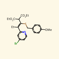 CCOC(=O)C(C(=O)OCC)C(SCc1ccc(OC)cc1)=C(CC)c1cc(Br)ccn1